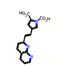 O=C(O)c1cc(C=Cc2ccc3cccnc3n2)cn1C(=O)O